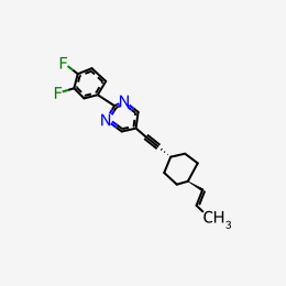 C/C=C/[C@H]1CC[C@H](C#Cc2cnc(-c3ccc(F)c(F)c3)nc2)CC1